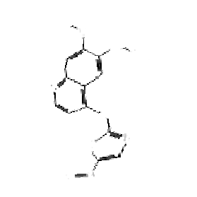 COc1cc2nccc(Sc3ncc(N=O)s3)c2cc1OC